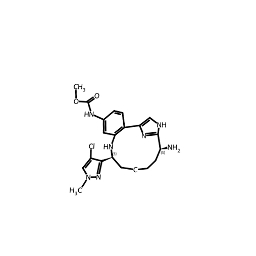 COC(=O)Nc1ccc2c(c1)N[C@H](c1nn(C)cc1Cl)CCCC[C@H](N)c1nc-2c[nH]1